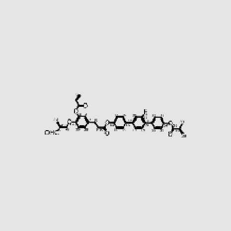 C=CC(=O)Oc1cc(CCC(=O)Oc2ccc(-c3ccc(-c4ccc(OC(=O)C(=C)C)cc4)c(F)c3)cc2)ccc1OCC(=C)C=O